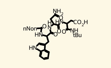 CCCCCCCCCC(=O)NC(Cc1c[nH]c2ccccc12)C(=O)NC(CC(N)=O)C(=O)NC(CC(=O)O)C(=O)NC(C)(C)C